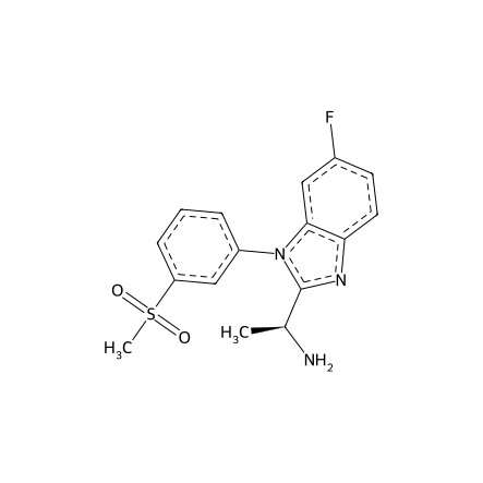 C[C@H](N)c1nc2ccc(F)cc2n1-c1cccc(S(C)(=O)=O)c1